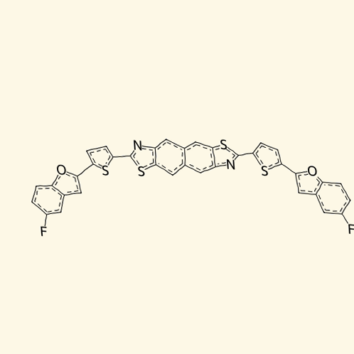 Fc1ccc2oc(-c3ccc(-c4nc5cc6cc7sc(-c8ccc(-c9cc%10cc(F)ccc%10o9)s8)nc7cc6cc5s4)s3)cc2c1